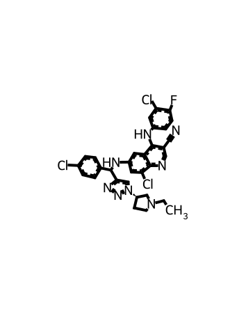 CCN1CC[C@H](n2cc(C(Nc3cc(Cl)c4ncc(C#N)c(Nc5ccc(F)c(Cl)c5)c4c3)c3ccc(Cl)cc3)nn2)C1